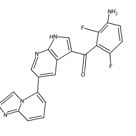 Nc1ccc(F)c(C(=O)c2c[nH]c3ncc(-c4cccc5nccn45)cc23)c1F